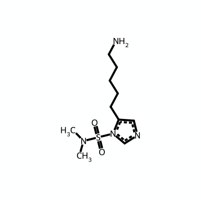 CN(C)S(=O)(=O)n1cncc1CCCCCN